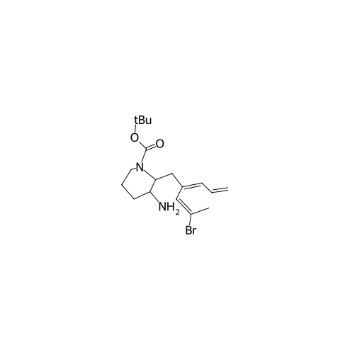 C=C/C=C(\C=C(/C)Br)CC1C(N)CCCN1C(=O)OC(C)(C)C